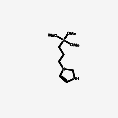 CO[Si](CCCN1C=CNC1)(OC)OC